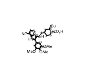 COc1cc(-c2[nH]c3c(C#N)cnn3c2NCC2CCN(C(=O)O)C(C(C)(C)C)C2)cc(OC)c1OC